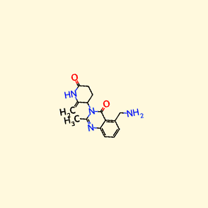 C=C1NC(=O)CCC1n1c(C)nc2cccc(CN)c2c1=O